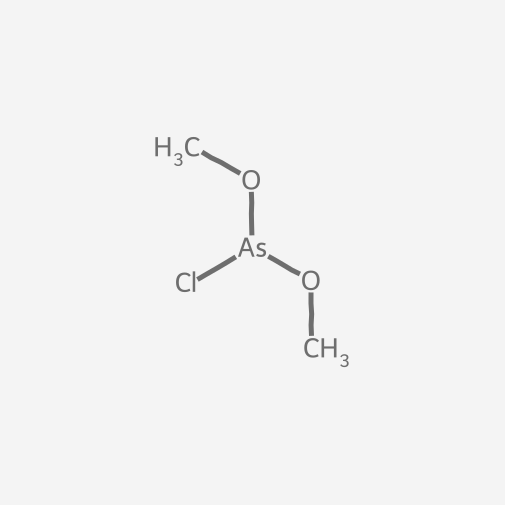 CO[As](Cl)OC